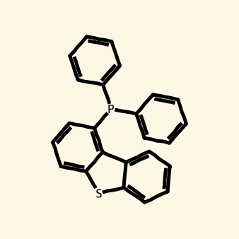 c1ccc(P(c2ccccc2)c2cccc3sc4ccccc4c23)cc1